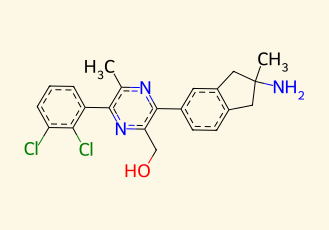 Cc1nc(-c2ccc3c(c2)CC(C)(N)C3)c(CO)nc1-c1cccc(Cl)c1Cl